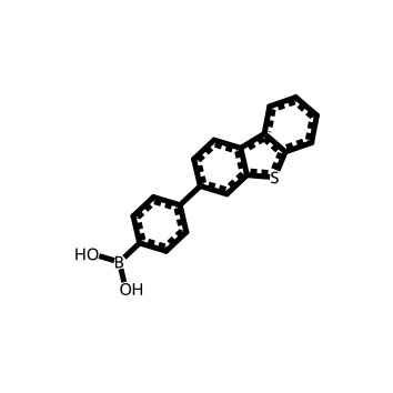 OB(O)c1ccc(-c2ccc3c(c2)sc2ccccc23)cc1